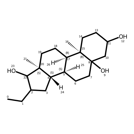 CCC1C[C@H]2[C@@H]3CCC4(O)CC(O)CC[C@]4(C)[C@@H]3CC[C@]2(C)C1O